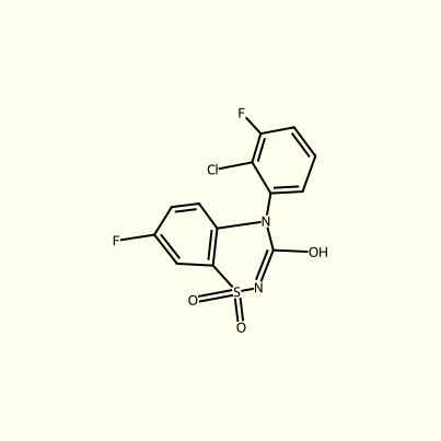 O=S1(=O)N=C(O)N(c2cccc(F)c2Cl)c2ccc(F)cc21